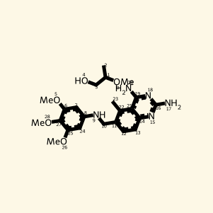 COC(C)CO.COc1cc(NCc2ccc3nc(N)nc(N)c3c2C)cc(OC)c1OC